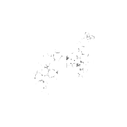 CC(CCCN(C(=O)[C@@H](O)[C@@H](O)[C@H](O)[C@@H](O)CO)C1CCS(=O)(=O)CC1)c1ccc(Cl)c(COC2(c3cnccc3-c3ccccc3OC3CC3)CC2)c1